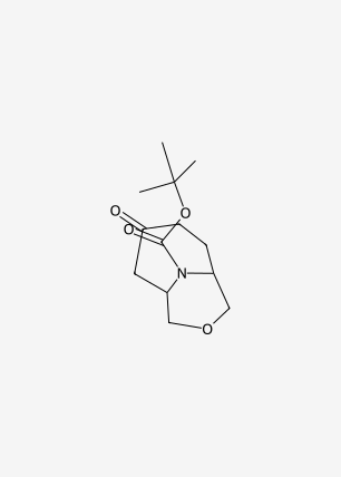 CC(C)(C)OC(=O)N1C2CCC(=O)CC1COC2